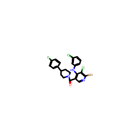 O=C(c1cnc(S)c(Cl)c1Nc1cccc(Cl)c1)N1CCC(c2ccc(F)cc2)CC1